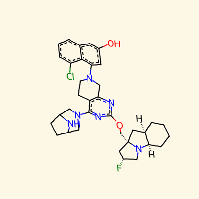 Oc1cc(N2CCc3c(nc(OC[C@@]45C[C@@H](F)CN4[C@@H]4CCCC[C@@H]4C5)nc3N3CC4CCC(C3)N4)C2)c2c(Cl)cccc2c1